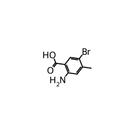 Cc1cc(N)c(C(=O)O)cc1Br